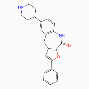 O=C1Nc2ccc(C3CCNCC3)cc2Cc2cc(-c3ccccc3)oc21